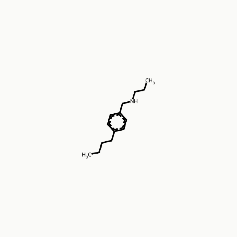 CCCCc1ccc(CNCCC)cc1